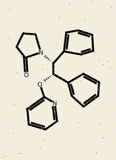 O=C1CCCN1[C@H](c1ccccc1)[C@@H](Oc1ccccn1)c1ccccc1